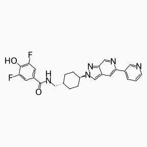 O=C(NC[C@H]1CC[C@H](n2cc3cc(-c4cccnc4)ncc3n2)CC1)c1cc(F)c(O)c(F)c1